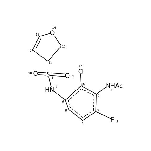 CC(=O)Nc1c(F)ccc(NS(=O)(=O)C2C=COC2)c1Cl